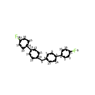 Fc1ccc(-c2ccc(Cc3ccc(-c4ccc(F)cc4)cc3)cc2)cc1